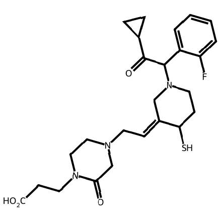 O=C(O)CCN1CCN(C/C=C2\CN(C(C(=O)C3CC3)c3ccccc3F)CCC2S)CC1=O